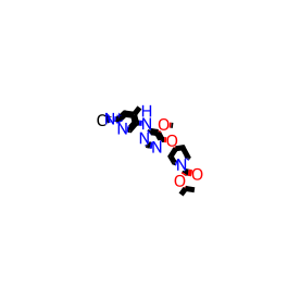 [C-]#[N+]c1cc(C)c(Nc2ncnc(OC3CCN(C(=O)OC(C)C)CC3)c2OC)cn1